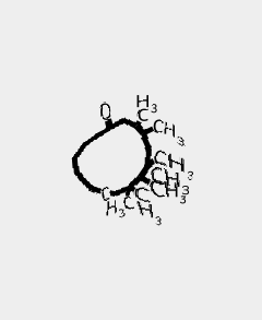 CC1CC(=O)CCCCCCCC(C)(C)C(C)C(C)(C)CC1C